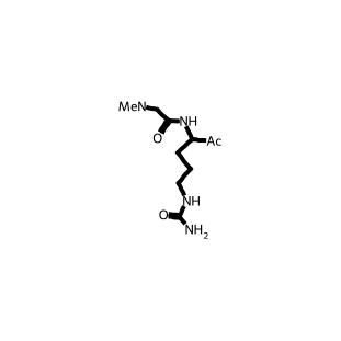 CNCC(=O)NC(CCCNC(N)=O)C(C)=O